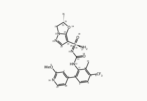 COc1cc(-c2ccc(C(F)(F)F)c(C)c2NC(=O)N=[S@@](N)(=O)c2cnn3c2O[C@@H](C)C3)ccn1